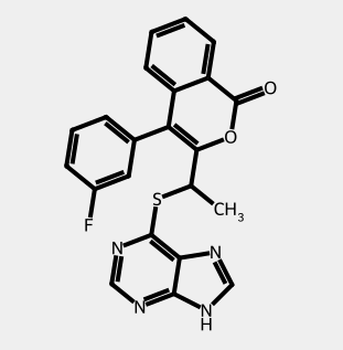 CC(Sc1ncnc2[nH]cnc12)c1oc(=O)c2ccccc2c1-c1cccc(F)c1